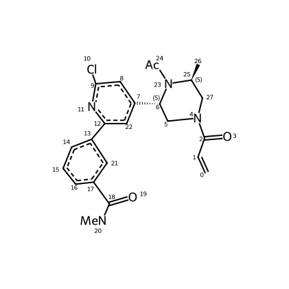 C=CC(=O)N1C[C@H](c2cc(Cl)nc(-c3cccc(C(=O)NC)c3)c2)N(C(C)=O)[C@@H](C)C1